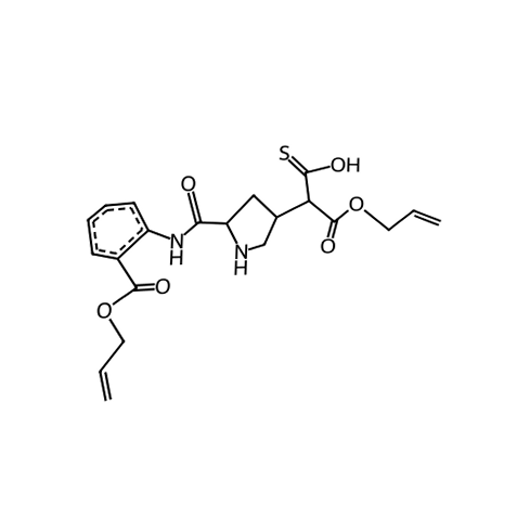 C=CCOC(=O)c1ccccc1NC(=O)C1CC(C(C(=O)OCC=C)C(O)=S)CN1